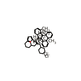 CC1=CC=CC2[CH]([Zr+2]([C]3=CC=CC3)=[C](CC3CCCCC3)CC3CCCCC3)C3(C)C4(C)C=CC=CC4(C)C4(C)C=CC=CC4(C)C3(C)C12C.[Cl-].[Cl-]